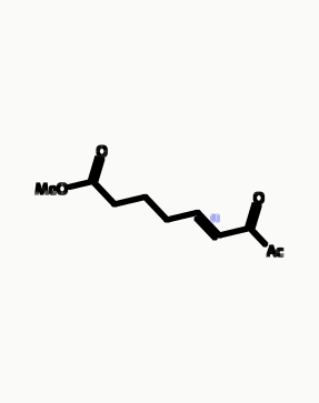 COC(=O)CCC/C=C/C(=O)C(C)=O